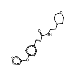 O=C(/C=C/c1ccc(Oc2ccsc2)cc1)NCCN1CCOCC1